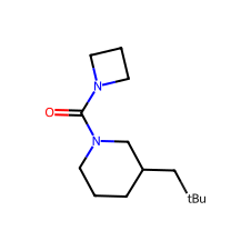 CC(C)(C)CC1CCCN(C(=O)N2CCC2)C1